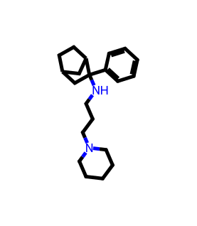 c1ccc(C2(NCCCN3CCCCC3)CC3CCC2C3)cc1